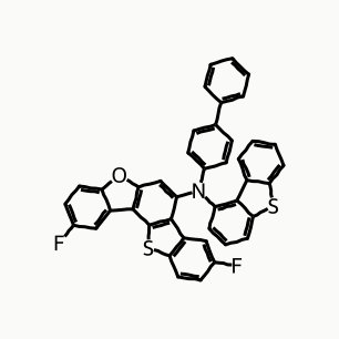 Fc1ccc2sc3c(c(N(c4ccc(-c5ccccc5)cc4)c4cccc5sc6ccccc6c45)cc4oc5ccc(F)cc5c43)c2c1